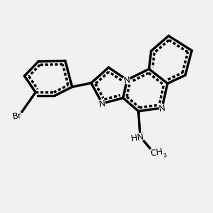 CNc1nc2ccccc2n2cc(-c3cccc(Br)c3)nc12